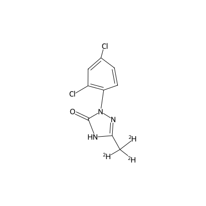 [2H]C([2H])([2H])c1nn(-c2ccc(Cl)cc2Cl)c(=O)[nH]1